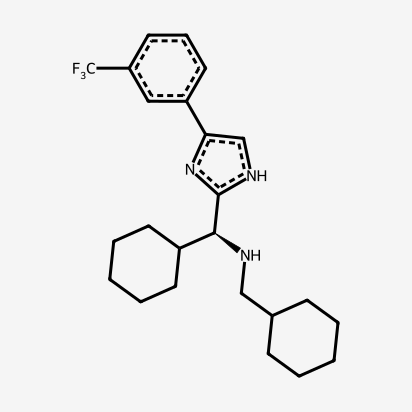 FC(F)(F)c1cccc(-c2c[nH]c([C@@H](NCC3CCCCC3)C3CCCCC3)n2)c1